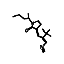 C=N/C=C(\C=C1/CCN(C(C)CCC)C1=O)C(C)(C)C